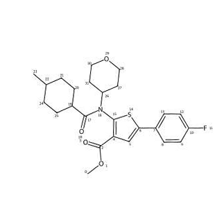 COC(=O)c1cc(-c2ccc(F)cc2)sc1N(C(=O)C1CCC(C)CC1)C1CCOCC1